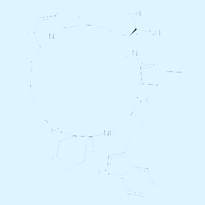 CC[C@H](C)[C@@H]1NC(=O)[C@H](Cc2c[nH]c3ccccc23)NC(=O)C2(CCOCC2)NC(=O)CCSCc2cccc(n2)CSC[C@@H](C(N)O)NC1=O